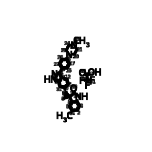 Cc1ccc2c(c1)C1(C[C@H]1c1ccc3c(-c4ccc(N5CCN(C)CC5)cc4)n[nH]c3c1)C(=O)N2.O=C(O)C(F)(F)F